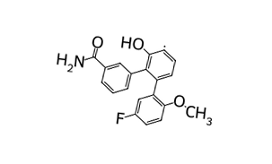 COc1ccc(F)cc1-c1cc[c]c(O)c1-c1cccc(C(N)=O)c1